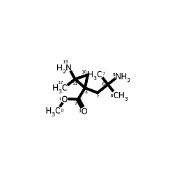 COC(=O)C1(CC(C)(C)N)CC1(C)N